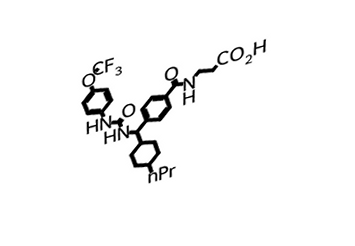 CCCC1CCC(C(NC(=O)Nc2ccc(OC(F)(F)F)cc2)c2ccc(C(=O)NCCC(=O)O)cc2)CC1